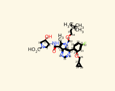 Cc1c(C(=O)N[C@@H]2CN(C(=O)O)C[C@H]2O)c2ncnc(-c3ccc(F)cc3OCC3CC3)c2n1COCC[Si](C)(C)C